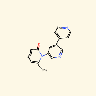 Cc1cccc(=O)n1-c1cncc(-c2ccncc2)c1